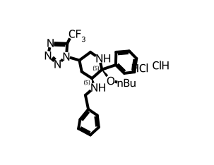 CCCCO[C@]1(c2ccccc2)NCC(n2nnnc2C(F)(F)F)C[C@@H]1NCc1ccccc1.Cl.Cl